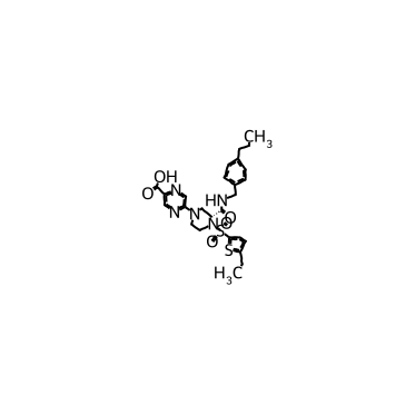 CCCc1ccc(CNC(=O)[C@H]2CN(c3cnc(C(=O)O)cn3)CCN2S(=O)(=O)c2ccc(CC)s2)cc1